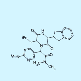 CNc1ccc(C(C(=O)N(C)C)N2C(=O)C(C3Cc4ccccc4C3)NC(=O)C2CC(C)C)cn1